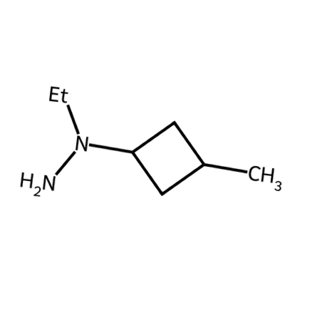 CCN(N)C1CC(C)C1